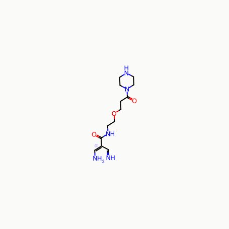 N=C/C(=C\N)C(=O)NCCOCCC(=O)N1CCNCC1